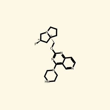 F[C@H]1CN2CCC[C@@]2(COc2nc(N3CCNCC3)c3cnccc3n2)C1